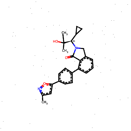 Cc1cc(-c2ccc(-c3cccc4c3C(=O)N([C@H](C3CC3)C(C)(C)O)C4)cc2)on1